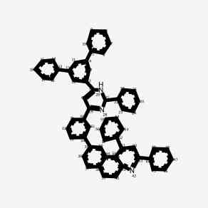 C1=C(c2cc(-c3ccccc3)cc(-c3ccccc3)c2)NC(c2ccccc2)N=C1c1cccc(-c2ccc3ccc4nc(-c5ccccc5)cc(-c5ccccc5)c4c3c2)c1